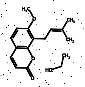 CCO.COc1ccc2ccc(=O)oc2c1CC=C(C)C